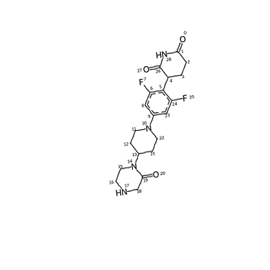 O=C1CCC(c2c(F)cc(N3CCC(N4CCNCC4=O)CC3)cc2F)C(=O)N1